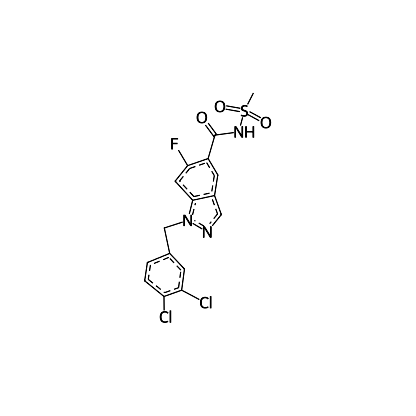 CS(=O)(=O)NC(=O)c1cc2cnn(Cc3ccc(Cl)c(Cl)c3)c2cc1F